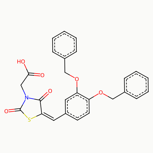 O=C(O)CN1C(=O)SC(=Cc2ccc(OCc3ccccc3)c(OCc3ccccc3)c2)C1=O